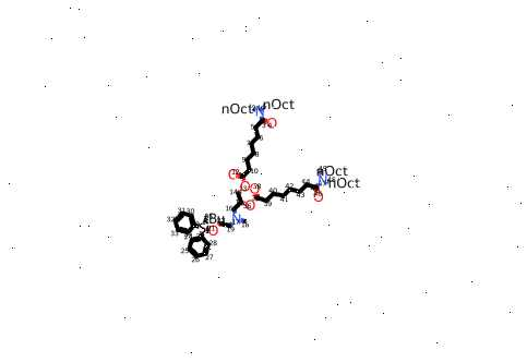 CCCCCCCCN(CCCCCCCC)C(=O)CCCCCCC(=O)OCC(CN(C)CCO[Si](c1ccccc1)(c1ccccc1)C(C)(C)C)OC(=O)CCCCCCC(=O)N(CCCCCCCC)CCCCCCCC